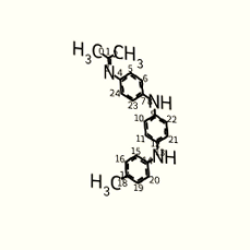 CC(C)=Nc1ccc(Nc2ccc(Nc3ccc(C)cc3)cc2)cc1